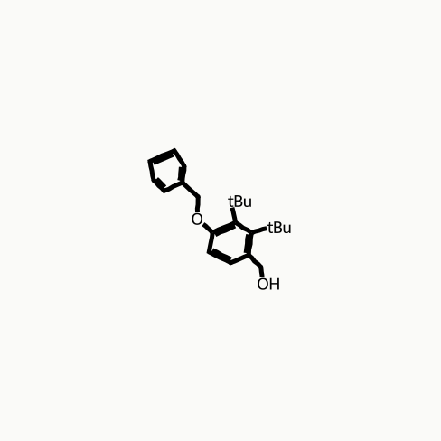 CC(C)(C)c1c(CO)ccc(OCc2ccccc2)c1C(C)(C)C